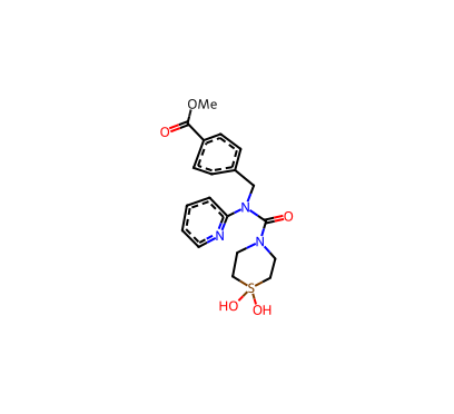 COC(=O)c1ccc(CN(C(=O)N2CCS(O)(O)CC2)c2ccccn2)cc1